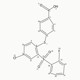 O=C(O)c1ccc(Sc2ccc(Cl)cc2S(=O)(=O)c2ccccc2F)cc1